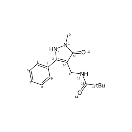 Cn1[nH]c(-c2ccccc2)c(CNC(=O)C(C)(C)C)c1=O